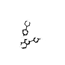 CN1CCC(c2ccc(Nc3nc(-c4ccc(N)nc4)cc4c3C(=O)[N]C=C4)cc2)CC1